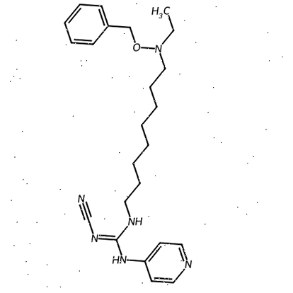 CCN(CCCCCCCCN/C(=N\C#N)Nc1ccncc1)OCc1ccccc1